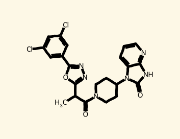 CC(C(=O)N1CCC(n2c(=O)[nH]c3ncccc32)CC1)c1nnc(-c2cc(Cl)cc(Cl)c2)o1